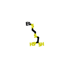 CCSCCSCC(S)S